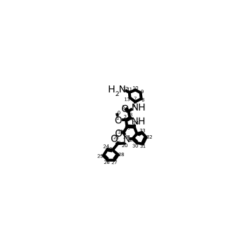 COc1c(C(=O)NC2CCCC(N)C2)[nH]c2c1c(=O)n(CC(=O)c1ccccc1)c1ccccc21